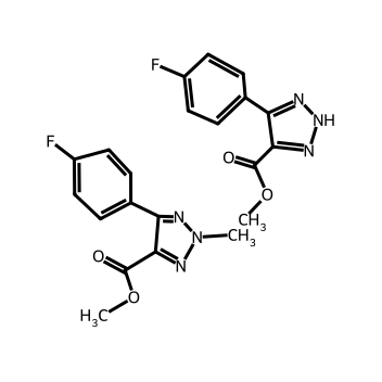 COC(=O)c1n[nH]nc1-c1ccc(F)cc1.COC(=O)c1nn(C)nc1-c1ccc(F)cc1